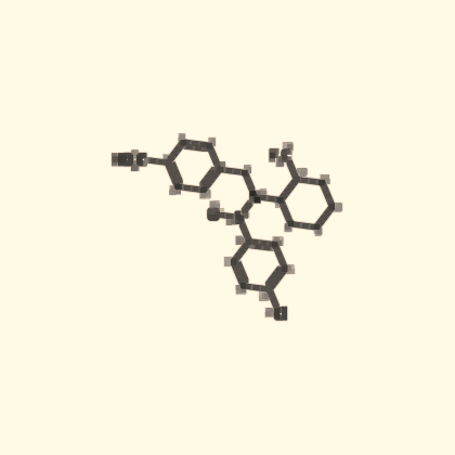 O=C(O)c1ccc(CN(C2CCCCC2C(F)(F)F)[S+]([O-])c2ccc(Cl)cc2)cc1